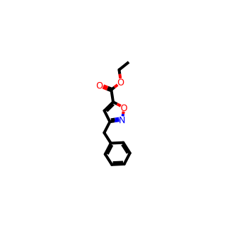 CCOC(=O)c1cc(Cc2ccccc2)no1